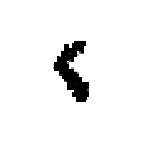 CC(C)Oc1ccc(-c2cc(Cn3cc4nc(-c5ccccc5F)nc-4cn3)on2)cc1